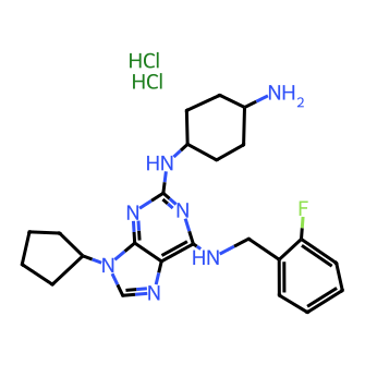 Cl.Cl.NC1CCC(Nc2nc(NCc3ccccc3F)c3ncn(C4CCCC4)c3n2)CC1